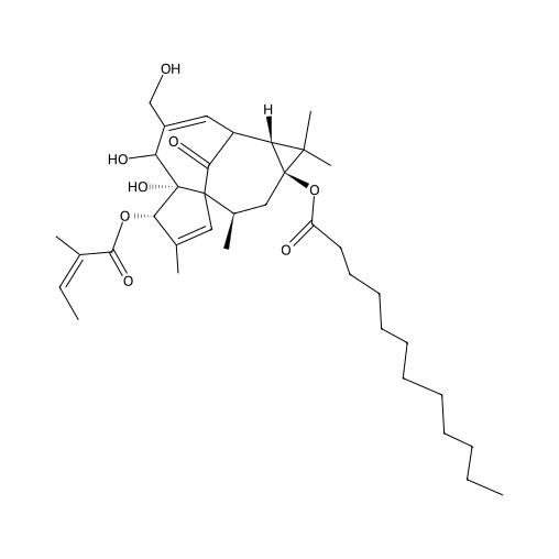 C/C=C(/C)C(=O)O[C@H]1C(C)=CC23C(=O)C(C=C(CO)C(O)[C@]12O)[C@@H]1C(C)(C)[C@]1(OC(=O)CCCCCCCCCCC)C[C@H]3C